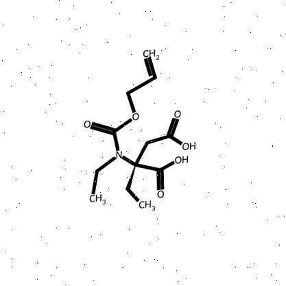 C=CCOC(=O)N(CC)[C@](CC)(CC(=O)O)C(=O)O